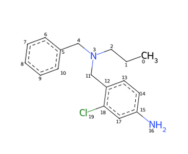 CCCN(Cc1ccccc1)Cc1ccc(N)cc1Cl